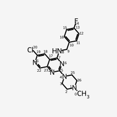 CN1CCN(c2nc(NCc3ccc(F)cc3)c3cc(Cl)ncc3n2)CC1